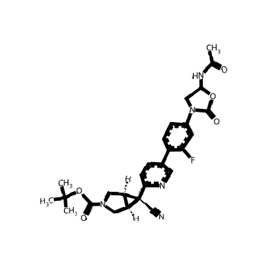 CC(=O)NC1CN(c2ccc(-c3ccc([C@@]4(C#N)[C@@H]5CN(C(=O)OC(C)(C)C)C[C@@H]54)nc3)c(F)c2)C(=O)O1